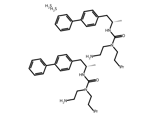 CC(C)CCN(CCN)C(=O)N[C@@H](C)Cc1ccc(-c2ccccc2)cc1.CC(C)CCN(CCN)C(=O)N[C@@H](C)Cc1ccc(-c2ccccc2)cc1.S.S